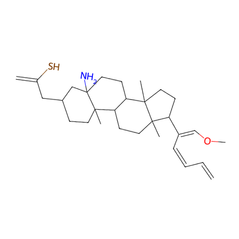 C=C/C=C\C(=C/OC)C1CCC2(C)C3CCC4(N)CC(CC(=C)S)CCC4(C)C3CCC12C